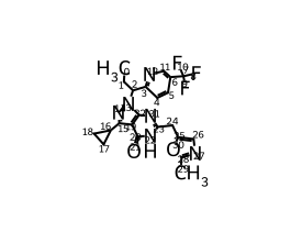 CCC(c1ccc(C(F)(F)F)cn1)n1nc(C2CC2)c2c(=O)[nH]c(Cc3cnc(C)o3)nc21